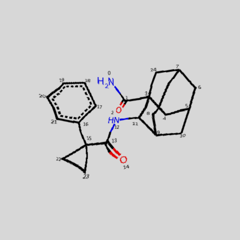 NC(=O)C12CC3CC(CC(C3)C1NC(=O)C1(c3ccccc3)CC1)C2